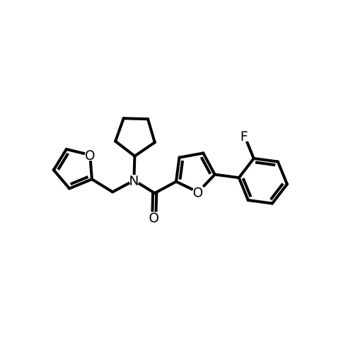 O=C(c1ccc(-c2ccccc2F)o1)N(Cc1ccco1)C1CCCC1